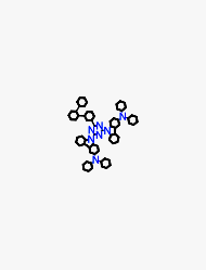 c1ccc(-c2ccccc2-c2cccc(-c3nc(-n4c5ccccc5c5cc(N(c6ccccc6)c6ccccc6)ccc54)nc(-n4c5ccccc5c5cc(N(c6ccccc6)c6ccccc6)ccc54)n3)c2)cc1